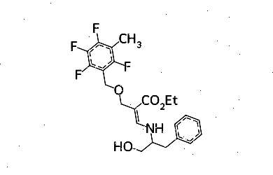 CCOC(=O)/C(=C\NC(CO)Cc1ccccc1)COCc1c(F)c(C)c(F)c(F)c1F